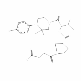 CC(C)[C@@H](NC(=O)[C@@H]1CCN(C(=O)CCC(N)=O)C1)C(=O)N1CC[C@H](c2ccc(Cl)cc2)C(C)(C)C1